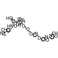 Cc1ncsc1-c1ccc(CNC(=O)[C@@H]2C[C@@H](O)CN2C(=O)[C@@H](NC(=O)COCCOCCOc2ccc(COc3ccc4oc(-c5ccc(=O)n(C)n5)nc4c3)nc2)C(C)(C)C)cc1